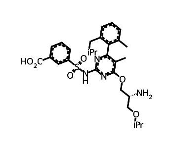 Cc1cccc(CC(C)C)c1-c1nc(NS(=O)(=O)c2cccc(C(=O)O)c2)nc(OC[C@H](N)COC(C)C)c1C